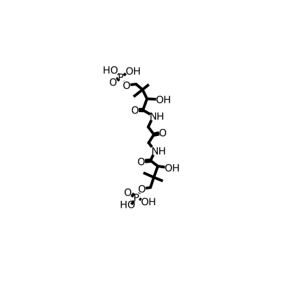 CC(C)(COP(=O)(O)O)C(O)C(=O)NCC(=O)CNC(=O)C(O)C(C)(C)COP(=O)(O)O